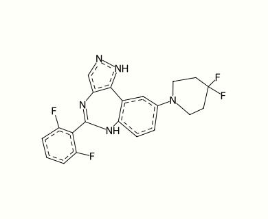 Fc1cccc(F)c1C1=Nc2cn[nH]c2-c2cc(N3CCC(F)(F)CC3)ccc2N1